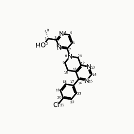 C[C@@H](O)c1nccc(N2CCc3c(ncnc3-c3ccc(Cl)cc3)C2)n1